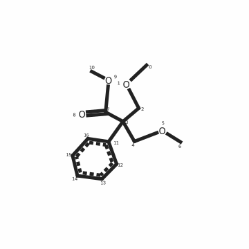 COCC(COC)(C(=O)OC)c1ccccc1